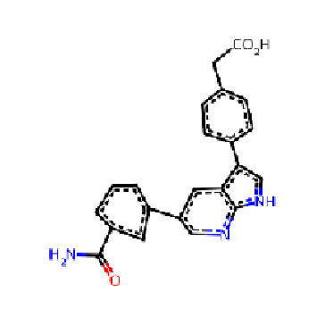 NC(=O)c1cccc(-c2cnc3[nH]cc(-c4ccc(CC(=O)O)cc4)c3c2)c1